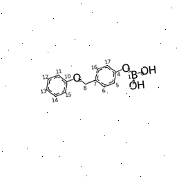 OB(O)Oc1ccc(COc2ccccc2)cc1